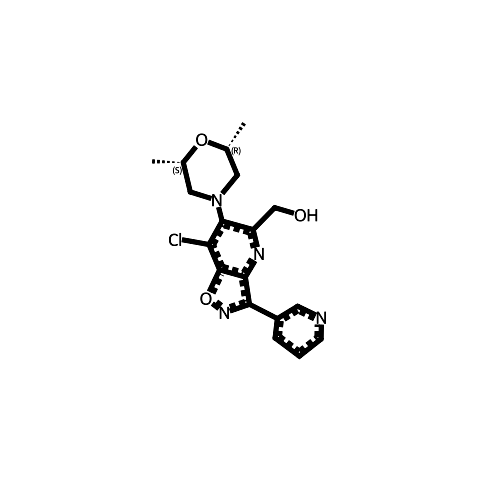 C[C@@H]1CN(c2c(CO)nc3c(-c4cccnc4)noc3c2Cl)C[C@H](C)O1